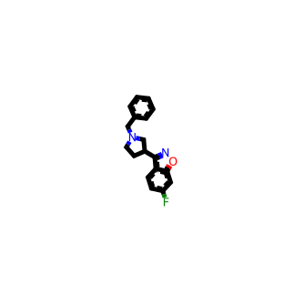 Fc1ccc2c(C3CCN(Cc4ccccc4)C3)noc2c1